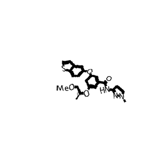 COC[C@H](C)Oc1cc(Oc2ccc3sccc3c2)cc(C(=O)Nc2ccn(C)n2)c1